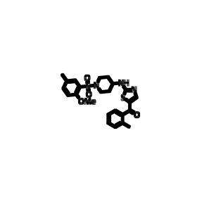 COc1ccc(C)cc1S(=O)(=O)N1CCC(Nc2ncc(C(=O)c3ccccc3C)s2)CC1